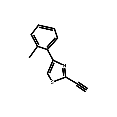 C#Cc1nc(-c2ccccc2C)cs1